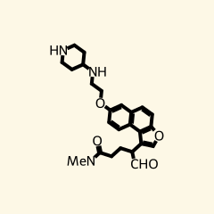 CNC(=O)CCC(C=O)c1coc2ccc3cc(OCCNC4CCNCC4)ccc3c12